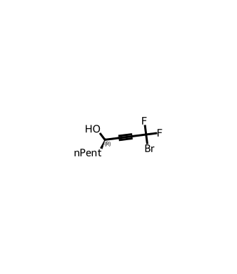 CCCCC[C@@H](O)C#CC(F)(F)Br